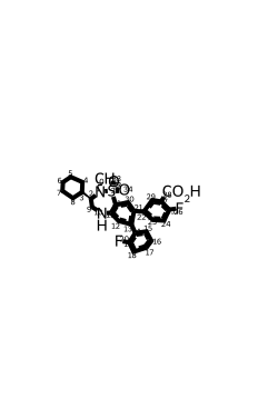 CN1[C@H](C2CCCCC2)CNc2cc(-c3ccccc3F)c(-c3ccc(F)c(C(=O)O)c3)cc2S1(=O)=O